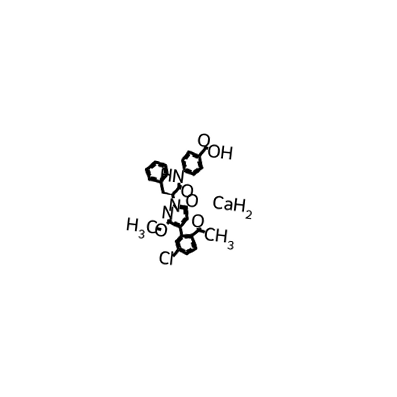 COc1nn([C@@H](Cc2ccccc2)C(=O)Nc2ccc(C(=O)O)cc2)c(=O)cc1-c1cc(Cl)ccc1C(C)=O.[CaH2]